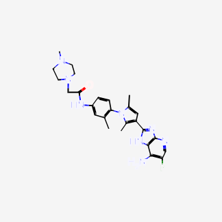 Cc1cc(NC(=O)CN2CCN(C)CC2)ccc1-n1c(C)cc(-c2nc3ncc(Br)c(N)c3[nH]2)c1C